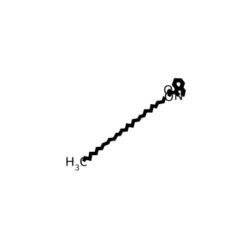 CCCCCCCCCCCCCCCCCCCCCCCCCCCCOC(=O)c1nccc2ccccc12